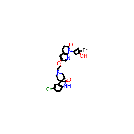 CC(C)C1(O)CC(N2C(=O)CCc3cc(OCCN4CCC5(CC4)C(=O)Nc4ccc(Cl)cc45)cnc32)C1